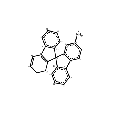 Nc1ccc2c(c1)C1(C3=C(C=CCC3)c3ccccc31)c1ccccc1-2